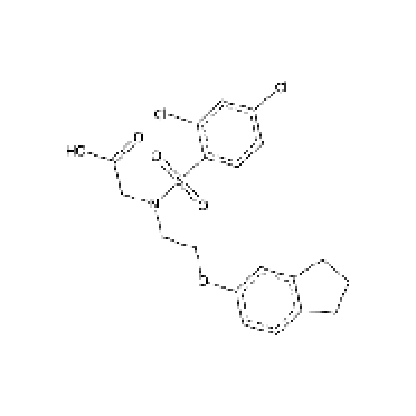 O=C(O)CN(CCOc1ccc2c(c1)CCC2)S(=O)(=O)c1ccc(Cl)cc1Cl